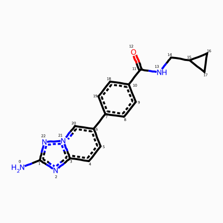 Nc1nc2ccc(-c3ccc(C(=O)NCC4CC4)cc3)cn2n1